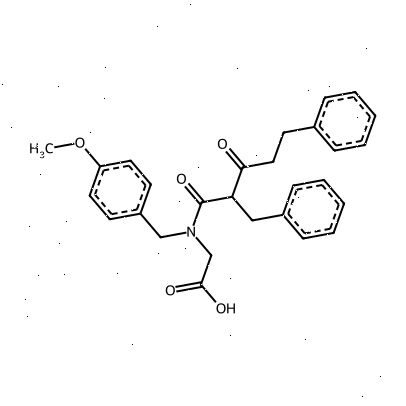 COc1ccc(CN(CC(=O)O)C(=O)C(Cc2ccccc2)C(=O)CCc2ccccc2)cc1